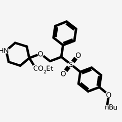 CCCCOc1ccc(S(=O)(=O)C(COC2(C(=O)OCC)CCNCC2)c2ccccc2)cc1